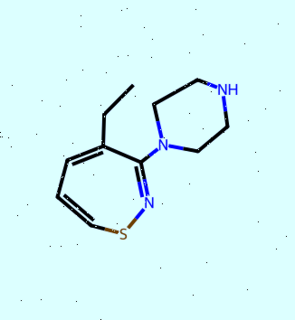 CCC1=CC=CSN=C1N1CCNCC1